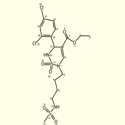 CCOC(=O)C1=CN(CCCCNS(C)(=O)=O)S(=O)(=O)NC1c1ccc(Cl)cc1Cl